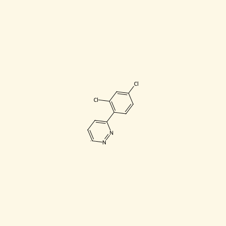 Clc1ccc(-c2cc[c]nn2)c(Cl)c1